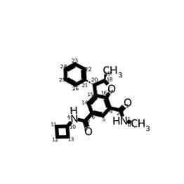 CNC(=O)c1cc(C(=O)NC2CCC2)cc2c1O[C@H](C)[C@H]2c1ccccc1